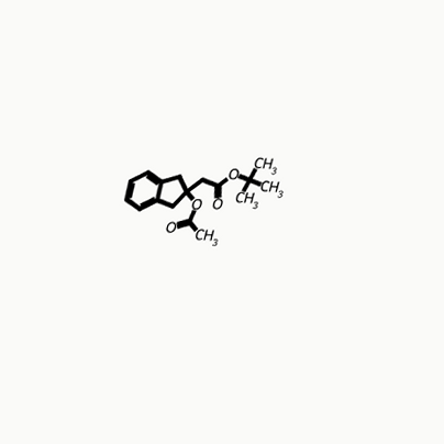 CC(=O)OC1(CC(=O)OC(C)(C)C)Cc2ccccc2C1